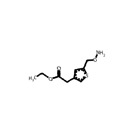 CCOC(=O)Cc1csc(CON)c1